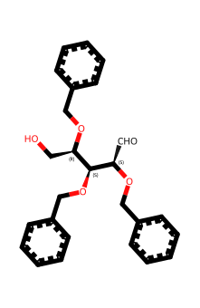 O=C[C@@H](OCc1ccccc1)[C@@H](OCc1ccccc1)[C@@H](CO)OCc1ccccc1